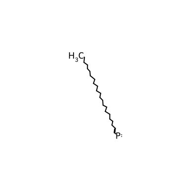 CCCCCCCCCCCCCCCCCCCCCC=C[P]